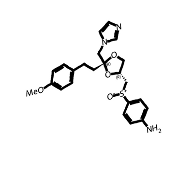 COc1ccc(CC[C@@]2(Cn3ccnc3)OC[C@H](C[S+]([O-])c3ccc(N)cc3)O2)cc1